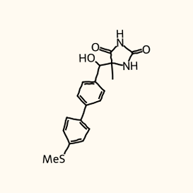 CSc1ccc(-c2ccc(C(O)C3(C)NC(=O)NC3=O)cc2)cc1